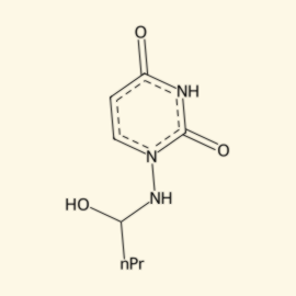 CCCC(O)Nn1ccc(=O)[nH]c1=O